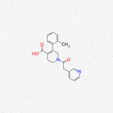 Cc1ccccc1C1=C(C(=O)O)CCN(C(=O)Cc2cccnc2)C1